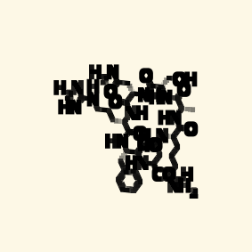 C[C@H](NC(=O)[C@@H](N)CCCCN)C(=O)N[C@@H](CO)C(=O)N[C@@H](CC(N)=O)C(=O)N[C@@H](CCCNC(=N)N)C(=O)N[C@@H](Cc1ccccc1)C(=O)N[C@@H](CO)C(=O)O